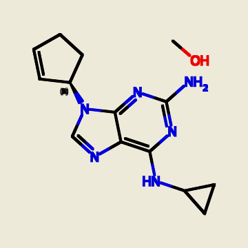 CO.Nc1nc(NC2CC2)c2ncn([C@H]3C=CCC3)c2n1